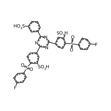 O=S(=O)(O)c1cccc(-c2nc(-c3ccc(S(=O)(=O)c4ccc(F)cc4)c(S(=O)(=O)O)c3)nc(-c3ccc(S(=O)(=O)c4ccc(F)cc4)c(S(=O)(=O)O)c3)n2)c1